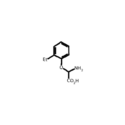 CCc1ccccc1OC(N)C(=O)O